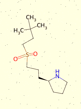 CC(C)(C)CCS(=O)(=O)CCC[C@@H]1CCCN1